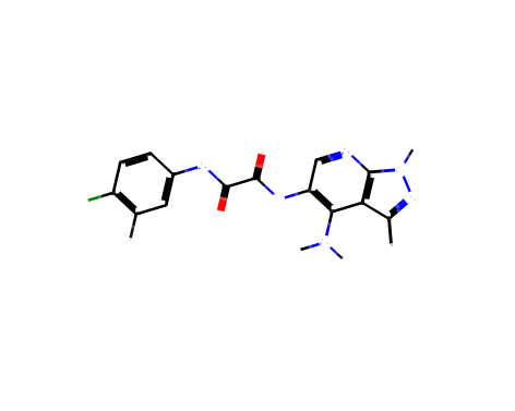 Cc1nn(C)c2ncc(NC(=O)C(=O)Nc3ccc(F)c(C(F)(F)F)c3)c(N(C)C)c12